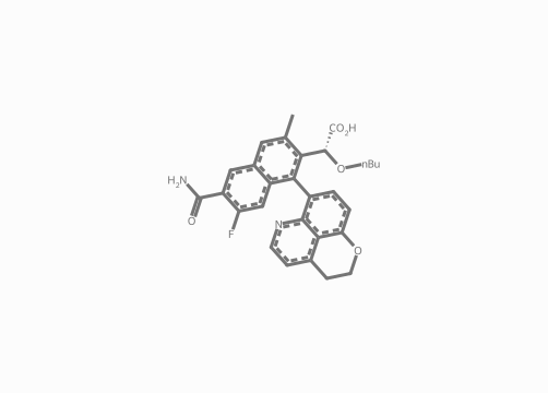 CCCCO[C@@H](C(=O)O)c1c(C)cc2cc(C(N)=O)c(F)cc2c1-c1ccc2c3c(ccnc13)CCO2